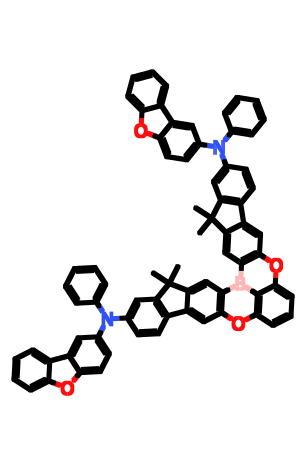 CC1(C)c2cc(N(c3ccccc3)c3ccc4oc5ccccc5c4c3)ccc2-c2cc3c(cc21)B1c2cc4c(cc2Oc2cccc(c21)O3)-c1ccc(N(c2ccccc2)c2ccc3oc5ccccc5c3c2)cc1C4(C)C